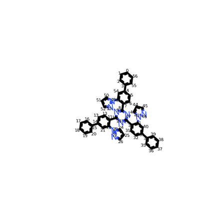 c1ccc(-c2ccc(-c3nc(-c4ccc(-c5ccccc5)cc4-n4cccn4)nc(-c4ccc(-c5ccccc5)cc4-n4cccn4)n3)c(-n3cccn3)c2)cc1